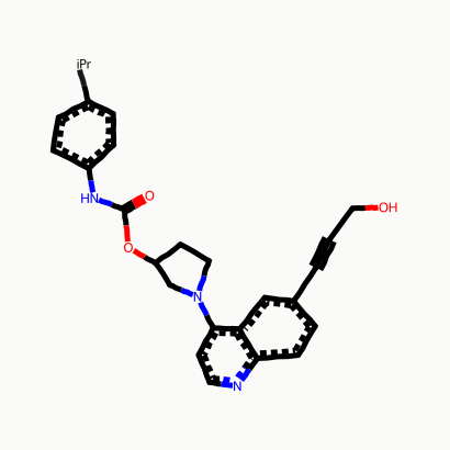 CC(C)c1ccc(NC(=O)OC2CCN(c3ccnc4ccc(C#CCO)cc34)C2)cc1